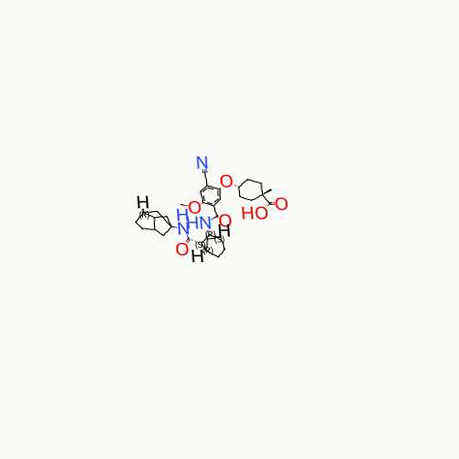 COc1cc(C#N)c(O[C@H]2CC[C@@](C)(C(=O)O)CC2)cc1C(=O)N[C@@H]1[C@H]2CC[C@H](C2)[C@@H]1C(=O)NC12CC3CC[C@H](C1)C3C2